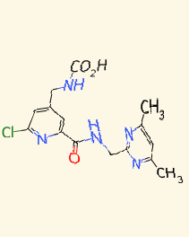 Cc1cc(C)nc(CNC(=O)c2cc(CNC(=O)O)cc(Cl)n2)n1